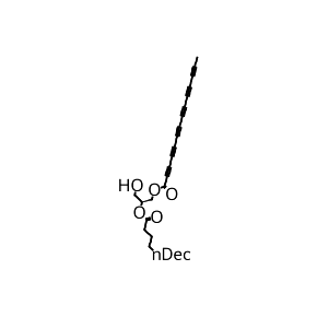 CC#CC#CC#CC#CC#CC#CC(=O)OC[C@H](CO)OC(=O)CCCCCCCCCCCCC